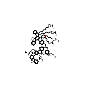 CCCCCCCC1(CCCCCCC)c2ccccc2-c2c1c1c(c3c2oc2ccccc23)-c2ccc(CC(Cc3cccc(C)c3)c3ccc4c(c3)C(C)(C)c3cc5c(cc3-4)C(C)(C)c3ccc4oc6ccccc6c4c3-5)cc2C1(CCCCCCC)CCCCCCC